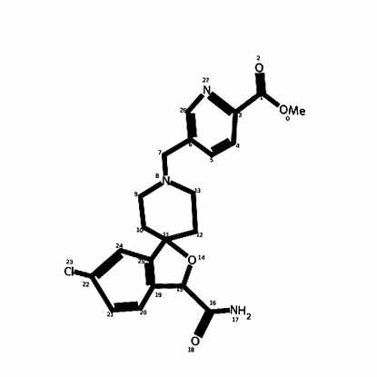 COC(=O)c1ccc(CN2CCC3(CC2)OC(C(N)=O)c2ccc(Cl)cc23)cn1